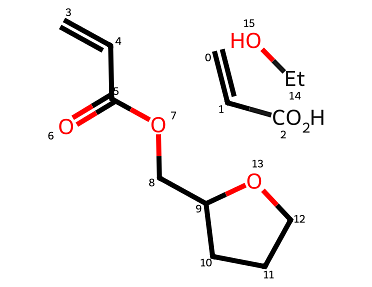 C=CC(=O)O.C=CC(=O)OCC1CCCO1.CCO